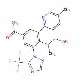 Cc1ccc(-c2cc(C(N)=O)cc(-n3ncnc3C(F)(F)F)c2C(C)CO)nc1